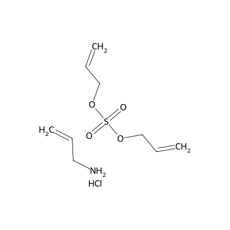 C=CCN.C=CCOS(=O)(=O)OCC=C.Cl